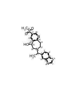 CC(c1ccc2scnc2c1)N1CCc2ncc(S(C)(=O)=O)cc2[C@H](O)C1